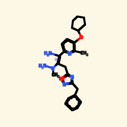 Cc1nc(/C(N)=C(\Cc2nc(Cc3ccccc3)no2)N(C)N)ccc1OC1CCCCC1